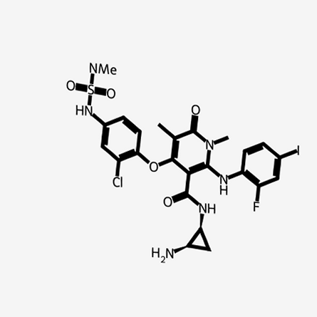 CNS(=O)(=O)Nc1ccc(Oc2c(C(=O)N[C@H]3C[C@H]3N)c(Nc3ccc(I)cc3F)n(C)c(=O)c2C)c(Cl)c1